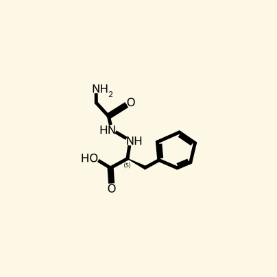 NCC(=O)NN[C@@H](Cc1ccccc1)C(=O)O